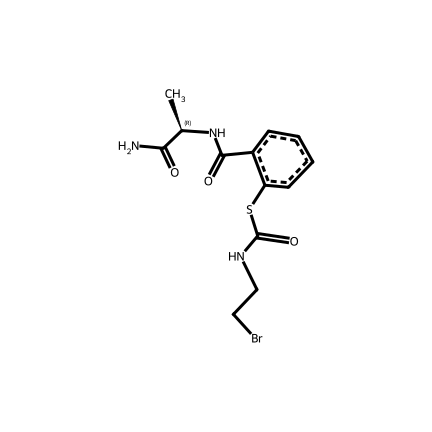 C[C@@H](NC(=O)c1ccccc1SC(=O)NCCBr)C(N)=O